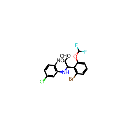 O=CCC(Nc1cc(Cl)ccc1[N+](=O)[O-])c1c(Br)cccc1OC(F)F